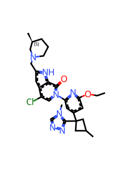 CCOc1cc(C2(c3nncn3C)CC(C)C2)cc(-n2cc(Cl)c3cc(CN4CCC[C@H](C)C4)[nH]c3c2=O)n1